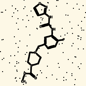 COC(=O)N1CCN(Cc2ccc(F)c(NC(=O)Nc3ccon3)c2)CC1